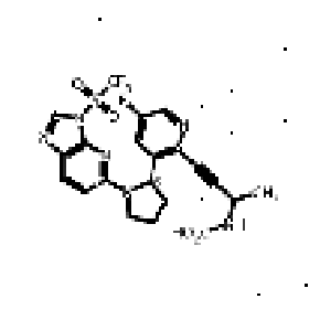 CC(C#Cc1ncc(F)cc1[C@H]1CCCN1c1ccc2ncn(S(=O)(=O)C(F)(F)F)c2n1)NC(=O)O